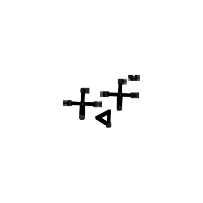 C1CO1.O=P(O)(O)O.O=P(O)(O)O.[NaH]